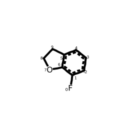 Fc1[c]ccc2c1OCC2